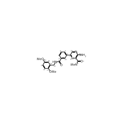 CNC(=O)c1nc(-c2cccc(C(=O)NCc3cc(OC)ccc3OC)c2)cnc1N